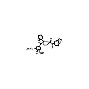 COc1ccc(C(=O)N2CCN(C(=O)Nc3ccc4c(c3)OCO4)CC2c2ccccc2)cc1OC